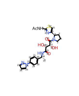 CC(=O)Nc1nc([C@H]2CCCN2C(=O)[C@H](O)[C@@H](O)C(=O)N[C@H](C)c2ccc(-n3cccn3)cc2)cs1